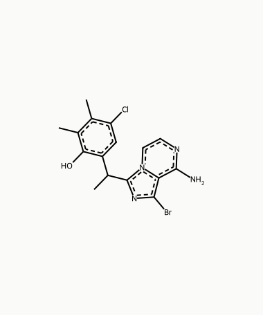 Cc1c(Cl)cc(C(C)c2nc(Br)c3c(N)nccn23)c(O)c1C